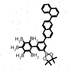 Bc1c(B)c(B)c(-c2cc(B3OC(C)(C)C(C)(C)O3)cc(-c3ccc4cc(-c5cccc6ccccc56)ccc4c3)c2)c(B)c1B